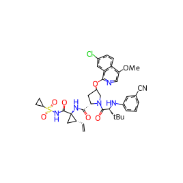 C=C[C@@H]1C[C@]1(NC(=O)[C@@H]1C[C@@H](Oc2ncc(OC)c3ccc(Cl)cc23)CN1C(=O)[C@@H](Nc1cccc(C#N)c1)C(C)(C)C)C(=O)NS(=O)(=O)C1CC1